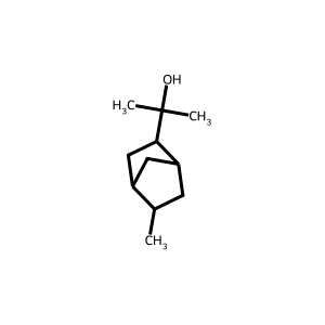 CC1CC2CC1CC2C(C)(C)O